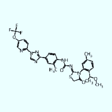 COC(C)c1ccc(C)cc1N1C(=O)CS/C1=N\C(=O)Nc1ccc(-c2ncn(-c3ccc(OC(F)(F)F)cn3)n2)cc1C